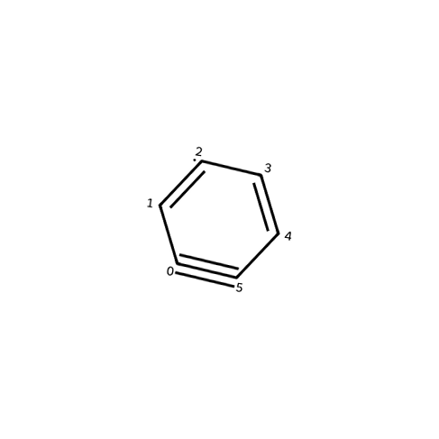 c1c[c]ccc#1